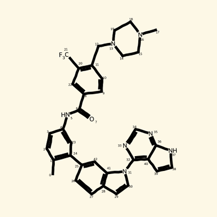 Cc1ccc(NC(=O)c2ccc(CN3CCN(C)CC3)c(C(F)(F)F)c2)cc1-c1ccc2ccn(-c3ncnc4[nH]ccc34)c2c1